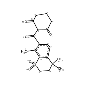 Cc1c(C(=O)C2C(=O)CCCC2=O)ccc2c1S(=O)(=O)CCC2(C)C